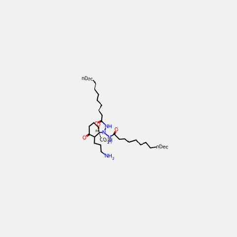 CCCCCCCCCCCCCCCCCC(=O)NN(NC(=O)CCCCCCCCCCCCCCCCC)[C@@]1(C(=O)O)C(=O)CCC(=O)C1CCCN